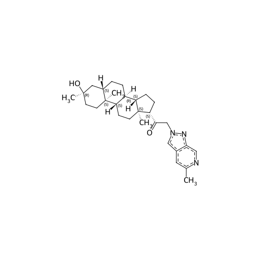 Cc1cc2cn(CC(=O)[C@H]3CC[C@H]4[C@@H]5CC[C@H]6C[C@](C)(O)CC[C@]6(C)[C@H]5CC[C@]34C)nc2cn1